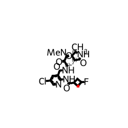 CNC(=O)C(=O)[C@H](C[C@@H]1C[C@@H](C)NC1=O)NC(=O)c1cc(Cl)cnc1NC(=O)C12CC(F)(C1)C2